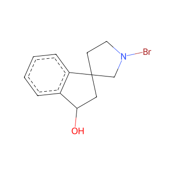 OC1CC2(CCN(Br)C2)c2ccccc21